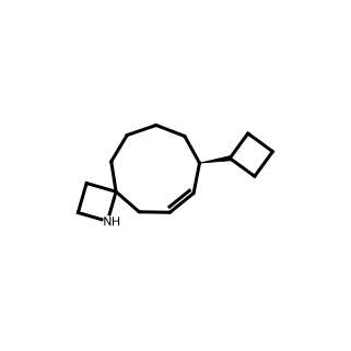 C1=C\[C@H](C2CCC2)CCCCC2(C/1)CCN2